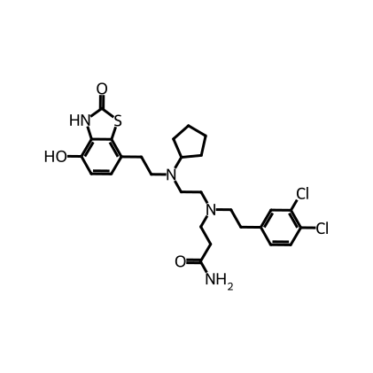 NC(=O)CCN(CCc1ccc(Cl)c(Cl)c1)CCN(CCc1ccc(O)c2[nH]c(=O)sc12)C1CCCC1